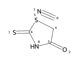 C#N.O=C1CSC(=S)N1